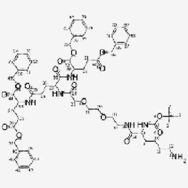 CC(C)(C)OC(=O)NC(CCCCN)C(=O)NCCOCCOCC(=O)NC(CCC(=O)NC(CCC(=O)OCc1ccccc1)C(=O)OCc1ccccc1)C(=O)NC(CCC(=O)OCc1ccccc1)C(=O)OCc1ccccc1